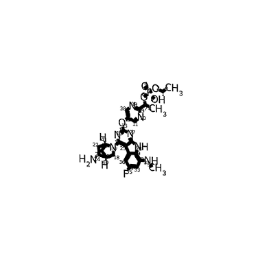 CCOP(=O)(O)OC(C)c1ncc(Oc2nc(N3C[C@H]4C[C@@H]3C[C@H]4N)c3c(n2)[nH]c2c(NC)cc(F)cc23)cn1